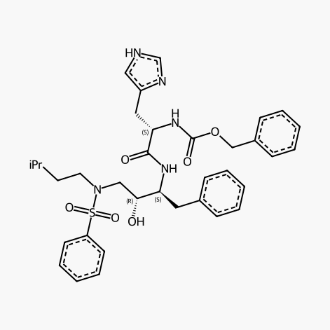 CC(C)CCN(C[C@@H](O)[C@H](Cc1ccccc1)NC(=O)[C@H](Cc1c[nH]cn1)NC(=O)OCc1ccccc1)S(=O)(=O)c1ccccc1